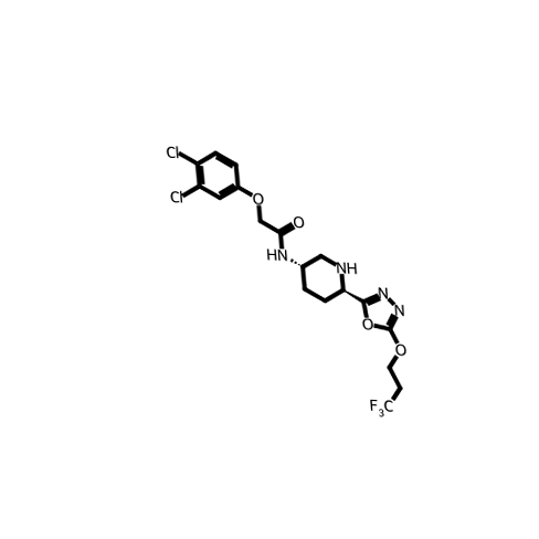 O=C(COc1ccc(Cl)c(Cl)c1)N[C@H]1CC[C@H](c2nnc(OCCC(F)(F)F)o2)NC1